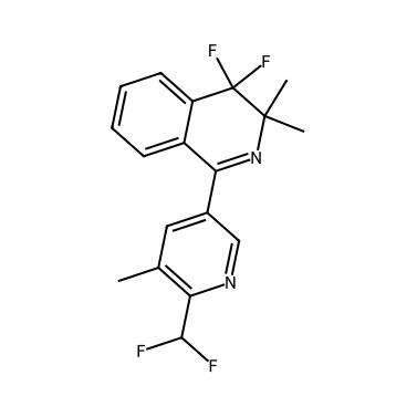 Cc1cc(C2=NC(C)(C)C(F)(F)c3ccccc32)cnc1C(F)F